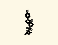 Cc1nc(C)c(S(=O)(=O)N2CCCC3(CCN(c4ccc(Cl)cc4)C3=O)C2)s1